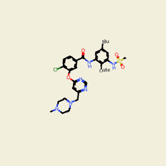 COc1c(NC(=O)c2ccc(Cl)c(Oc3cc(CN4CCN(C)CC4)ncn3)c2)cc(C(C)(C)C)cc1NS(C)(=O)=O